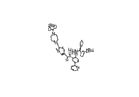 CC(C)(C)OC(=O)Nc1ccc(-c2ccccn2)cc1NC(=O)c1cnc(N2CCN(C(=O)OC(C)(C)C)CC2)s1